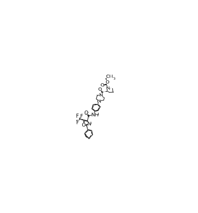 CCOC(=O)N1CCCC1C(=O)N1CCN(c2ccc(NC(=O)c3nc(-c4ccccc4)oc3C(F)(F)F)cc2)CC1